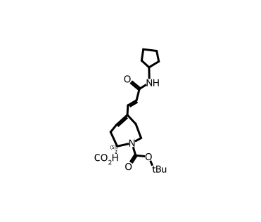 CC(C)(C)OC(=O)N1CCC(C=CC(=O)NC2CCCC2)=CC[C@H]1C(=O)O